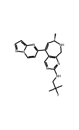 C[C@@H]1C=C(c2ccn3nccc3n2)c2cnc(NCC(C)(C)F)nc2CN1